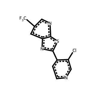 FC(F)(F)c1cnc2sc(-c3ccncc3Cl)nc2c1